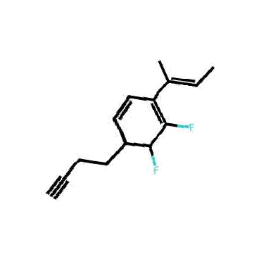 C#CCCC1C=CC(/C(C)=C/C)=C(F)C1F